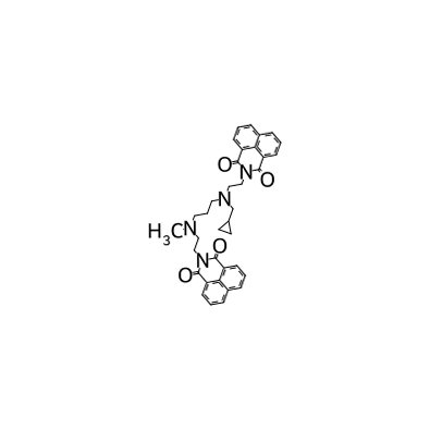 CN(CCCN(CCN1C(=O)c2cccc3cccc(c23)C1=O)CC1CC1)CCN1C(=O)c2cccc3cccc(c23)C1=O